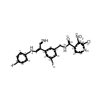 N=C/C(=C\Nc1ccc(F)cc1)c1cc(F)cc(CNC(=O)c2ccnc(Cl)c2[N+](=O)[O-])c1